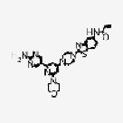 C=CC(=O)Nc1ccc2sc(N3CCN(c4cc(-c5cnc(N)nc5)nc(N5CCOCC5)c4)CC3)nc2c1